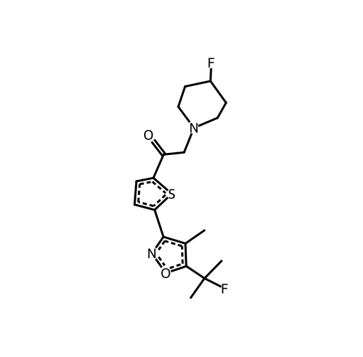 Cc1c(-c2ccc(C(=O)CN3CCC(F)CC3)s2)noc1C(C)(C)F